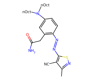 CCCCCCCCN(CCCCCCCC)c1ccc(N=Nc2snc(C)c2C#N)c(CC(N)=O)c1